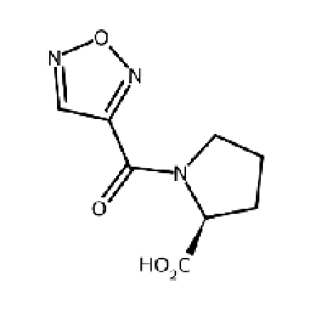 O=C(O)[C@@H]1CCCN1C(=O)c1cnon1